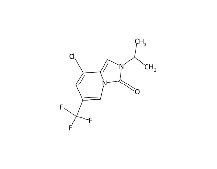 CC(C)n1cc2c(Cl)cc(C(F)(F)F)cn2c1=O